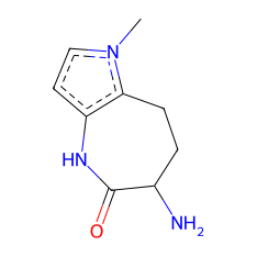 Cn1ccc2c1CCC(N)C(=O)N2